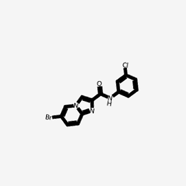 O=C(Nc1cccc(Cl)c1)c1cn2cc(Br)ccc2n1